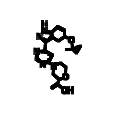 C=C(O)[C@H]1CN(c2cc(-c3n[nH]c4c3CC(OC3(C)CC3)C=C4)ncn2)CCO1